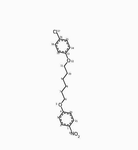 O=[N+]([O-])c1ccc(OCCCCCCOc2ccc(Cl)cc2)cc1